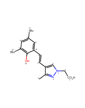 Cc1nn(CC(=O)O)cc1C=Cc1cc(C(C)(C)C)cc(C(C)(C)C)c1O